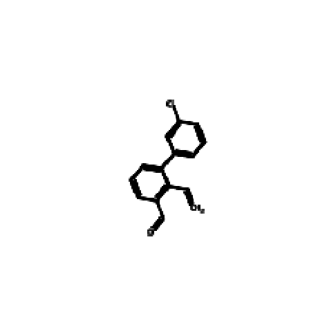 C=Cc1c(C=O)cccc1-c1cccc(Cl)c1